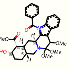 COC(=O)[C@@H]1[C@H]2C[C@H]3c4c(c5ccccc5n4C(=O)c4ccccc4)C(OC)C(OC)(OC)N3C[C@@H]2CC[C@@H]1O